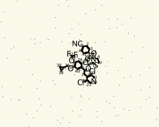 N#Cc1ccc(S(=O)(=O)N2CCS[C@H]2C(=O)OC(Cc2c(Cl)cncc2Cl)c2ccc(OC(F)F)c(OCC3CC3)c2)cc1